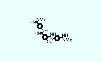 CNC(=N)c1ccc(NC(=N)c2ccc(Cl)c(C(=N)Nc3ccc(C(=N)NC)cc3)c2)cc1